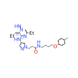 C=C(CC)/N=C(Nc1cnn(CCC(=O)NCCCCOc2ccc(C)cc2)c1)\C(=C/CC)N=N